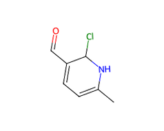 CC1=CC=C(C=O)C(Cl)N1